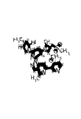 COc1ccncc1-c1cc2c(cnn2-c2cc(N3C[C@H](CS(C)(=O)=O)[C@H]3C)cc(N3C[C@@H]4C[C@H]3CN4C)n2)c(C)n1